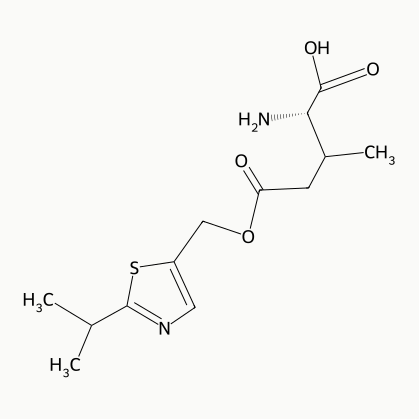 CC(C)c1ncc(COC(=O)CC(C)[C@H](N)C(=O)O)s1